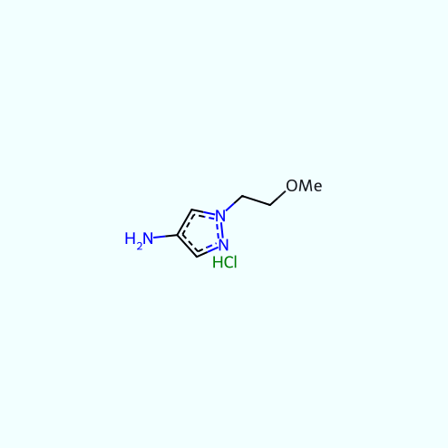 COCCn1cc(N)cn1.Cl